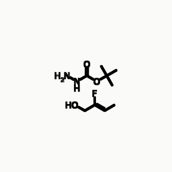 CC(C)(C)OC(=O)NN.CC=C(F)CO